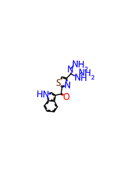 N/N=C(\NN)c1csc(C(=O)c2c[nH]c3ccccc23)n1